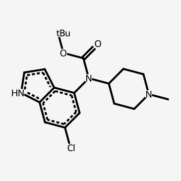 CN1CCC(N(C(=O)OC(C)(C)C)c2cc(Cl)cc3[nH]ccc23)CC1